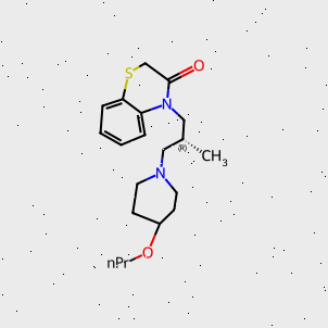 CCCOC1CCN(C[C@@H](C)CN2C(=O)CSc3ccccc32)CC1